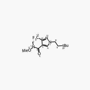 CON(C)C(=O)c1cn(CCC(C)(C)C)nc1C(F)(F)F